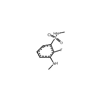 CNc1cccc(S(=O)(=O)NC)c1F